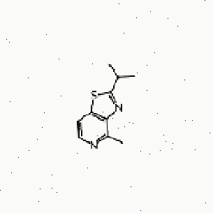 Cc1nccc2sc(C(C)C)nc12